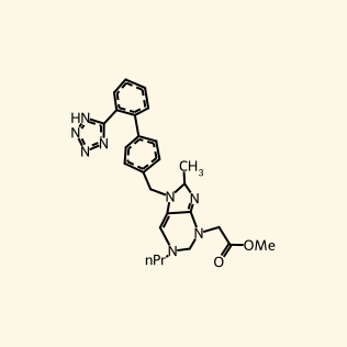 CCCN1C=C2C(=NC(C)N2Cc2ccc(-c3ccccc3-c3nnn[nH]3)cc2)N(CC(=O)OC)C1